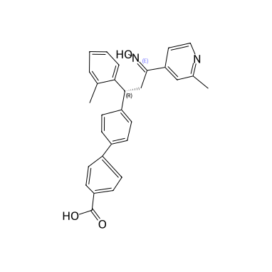 Cc1cc(/C(C[C@H](c2ccc(-c3ccc(C(=O)O)cc3)cc2)c2ccccc2C)=N/O)ccn1